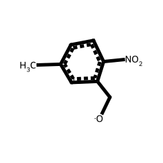 Cc1ccc([N+](=O)[O-])c(C[O])c1